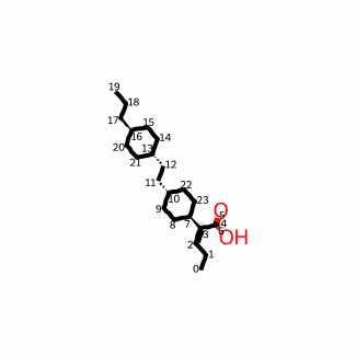 CCC=C(C(=O)O)[C@H]1CC[C@H](CC[C@H]2CC[C@H](CCC)CC2)CC1